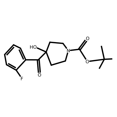 CC(C)(C)OC(=O)N1CCC(O)(C(=O)c2ccccc2F)CC1